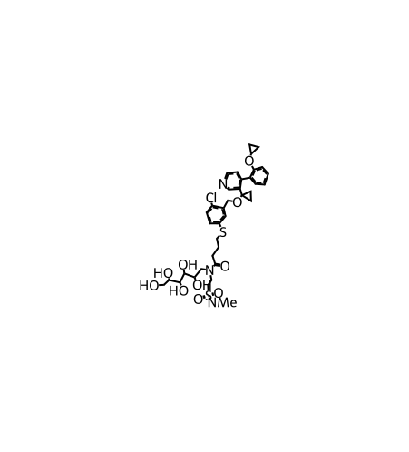 CNS(=O)(=O)CCN(CC(O)C(O)C(O)C(O)CO)C(=O)CCCSc1ccc(Cl)c(COC2(c3cnccc3-c3ccccc3OC3CC3)CC2)c1